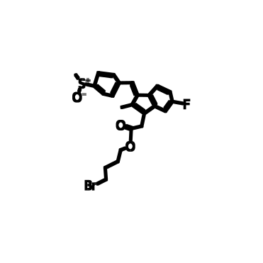 CC1=C(CC(=O)OCCCCBr)c2cc(F)ccc2C1=Cc1ccc([S+](C)[O-])cc1